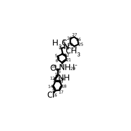 C[N+](C)(Cc1ccc(NC(=O)c2cc3cc(Cl)ccc3[nH]2)cc1)C1CCCCC1.[I-]